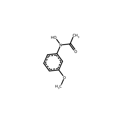 COc1cccc(N(O)C(C)=O)c1